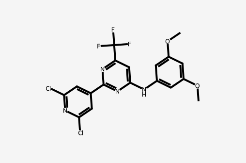 COc1cc(Nc2cc(C(F)(F)F)nc(-c3cc(Cl)nc(Cl)c3)n2)cc(OC)c1